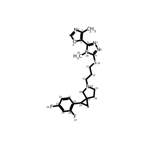 Cc1ncoc1-c1nnc(SCCCN2CCC3(CC3c3ccc(F)cc3F)C2)n1C